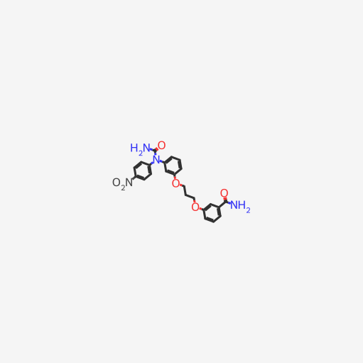 NC(=O)c1cccc(OCCCOc2cccc(N(C(N)=O)c3ccc([N+](=O)[O-])cc3)c2)c1